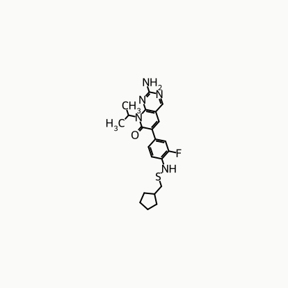 CC(C)n1c(=O)c(-c2ccc(NSCC3CCCC3)c(F)c2)cc2cnc(N)nc21